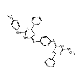 CNC(=S)NC(=Nc1ccc(N=C(NC(=S)Nc2ccc(C)cc2)SCc2ccccc2)cc1)SCc1ccccc1